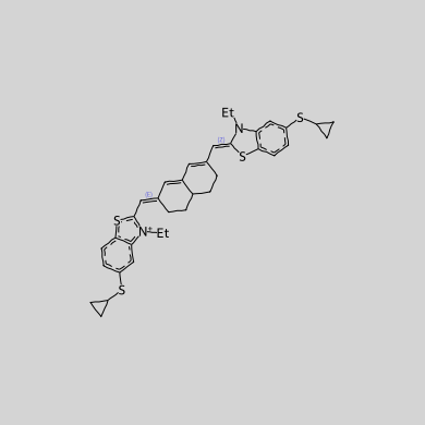 CCN1/C(=C/C2=CC3=C/C(=C/c4sc5ccc(SC6CC6)cc5[n+]4CC)CCC3CC2)Sc2ccc(SC3CC3)cc21